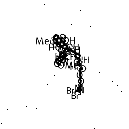 COc1cccc2c1C(=O)c1c(O)c3c(c(O)c1C2=O)C[C@@](O)(C(=O)NOCc1ccc(NC(=O)CNC(=O)CCOCCOCCn2nc(CBr)c(CBr)n2)cc1)C[C@@H]3O[C@H]1C[C@H]2[C@H](O[C@@H]3[C@@H](OC)OCCN32)[C@H](C)O1